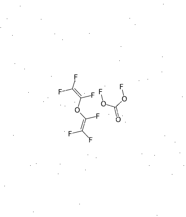 FC(F)=C(F)OC(F)=C(F)F.O=C(OF)OF